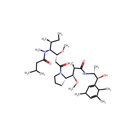 CC[C@H](C)[C@@H]([C@@H](CC(=O)N1CCC[C@H]1[C@H](OC)[C@@H](C)C(=O)N[C@H](C)[C@@H](O)C1=CC(C)C=C(C)C1C)OC)N(C)C(=O)CC(C)C